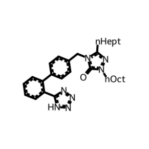 CCCCCCCCn1nc(CCCCCCC)n(Cc2ccc(-c3ccccc3-c3nnn[nH]3)cc2)c1=O